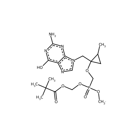 [CH2]OP(=O)(COC1(Cn2cnc3c(O)nc(N)nc32)CC1C)OCOC(=O)C(C)(C)C